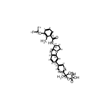 Cc1c(OC(F)F)cccc1C(=O)N[C@@H]1CCn2c1nc1ccc(-c3cnc(C(C)(C)OP(=O)(O)O)nc3)cc12